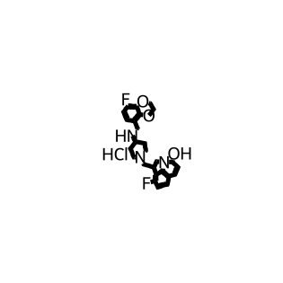 Cl.OC1C=Cc2ccc(F)c3c2N1CC3CN1CCC(NCc2ccc(F)c3c2OCCO3)CC1